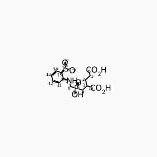 O=C(O)CCC(CP(=O)(O)CNC1C=CC=CC1=S(=O)=O)C(=O)O